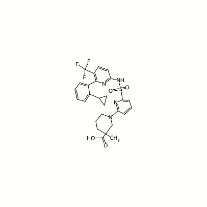 CC1(C(=O)O)CCCN(c2cccc(S(=O)(=O)Nc3ccc(C(F)(F)F)c(-c4ccccc4C4CC4)n3)n2)C1